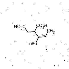 CC=C(CCCC)C(CC(=O)O)C(=O)O